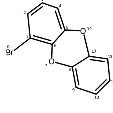 Brc1cccc2c1Oc1ccccc1O2